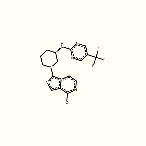 FC(F)(F)c1cnc(N[C@@H]2CCCN(c3ncc4c(Cl)nccn34)C2)nc1